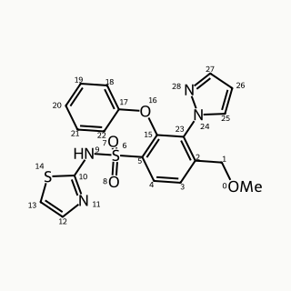 COCc1ccc(S(=O)(=O)Nc2nccs2)c(Oc2ccccc2)c1-n1cccn1